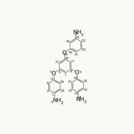 Nc1ccc(Oc2cc(Oc3ccc(N)cc3)cc(Oc3cccc(N)c3)c2)cc1